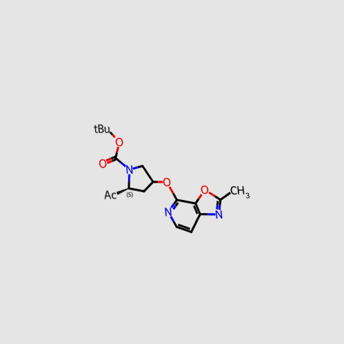 CC(=O)[C@@H]1CC(Oc2nccc3nc(C)oc23)CN1C(=O)OC(C)(C)C